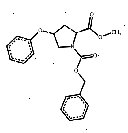 COC(=O)[C@@H]1CC(Oc2ccccc2)CN1C(=O)OCc1ccccc1